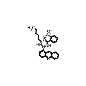 CCCCCCNN(NC(=O)c1ccccc1[N+](=O)[O-])c1cccc2nc3ccccc3cc12